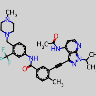 CC(=O)Nc1ccnc2c1c(C#Cc1cc(C(=O)Nc3ccc(CN4CCN(C)CC4)c(C(F)(F)F)c3)ccc1C)nn2C(C)C